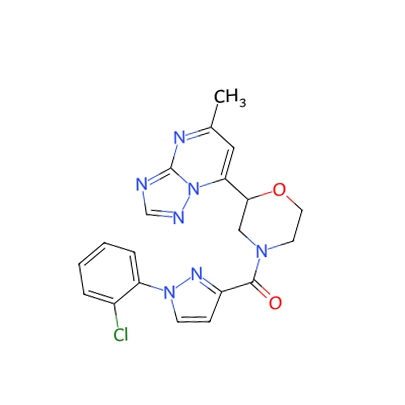 Cc1cc(C2CN(C(=O)c3ccn(-c4ccccc4Cl)n3)CCO2)n2ncnc2n1